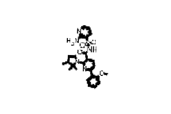 COc1ccccc1-c1ccc(C(=O)NS(=O)(=O)c2cccnc2N)c(N2CCC(C)C2(C)C)n1